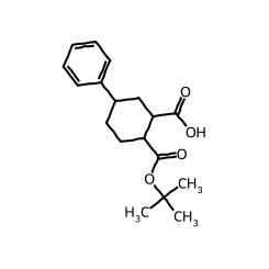 CC(C)(C)OC(=O)C1CCC(c2ccccc2)CC1C(=O)O